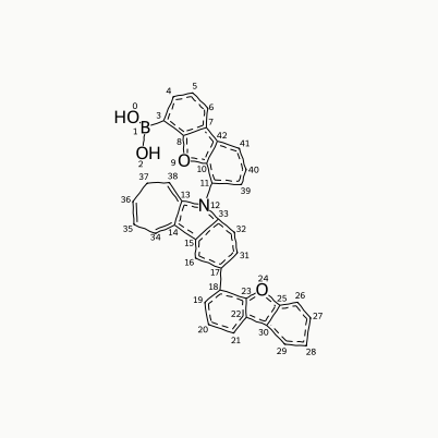 OB(O)c1cccc2c1oc1c(-n3c4c(c5cc(-c6cccc7c6oc6ccccc67)ccc53)=CC=CCC=4)cccc12